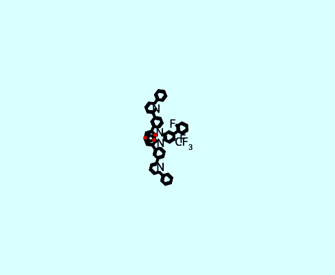 Fc1cccc(F)c1-c1cc(-n2c3ccccc3c3cc(-c4cccc(-c5ccccc5)n4)ccc32)c(-n2c3ccccc3c3cc(-c4cccc(-c5ccccc5)n4)ccc32)cc1C(F)(F)F